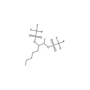 CCCCCC(OS(=O)(=O)C(F)(F)F)C(C)OS(=O)(=O)C(F)(F)F